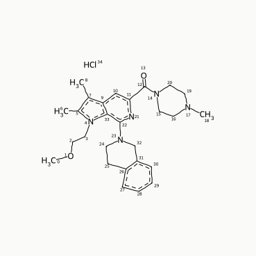 COCCn1c(C)c(C)c2cc(C(=O)N3CCN(C)CC3)nc(N3CCc4ccccc4C3)c21.Cl